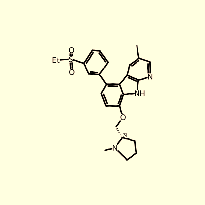 CCS(=O)(=O)c1cccc(-c2ccc(OC[C@@H]3CCCN3C)c3[nH]c4ncc(C)cc4c23)c1